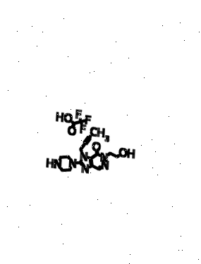 CC#CCn1c(N2CCNCC2)nc2cnn(CCO)c(=O)c21.O=C(O)C(F)(F)F